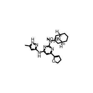 Cc1cc(Nc2cc(C3=CCCO3)nc(N(C)C3C[C@H]4CCC[C@@H](C3)N4C(=O)O)n2)n[nH]1